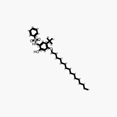 CCCCCCCCCCCCCCCCOc1cc(O)c(NS(=O)(=O)c2ccccc2)cc1C(C)(C)C